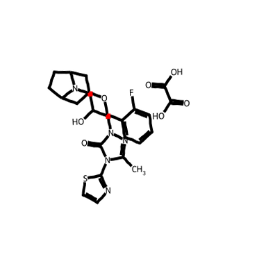 Cc1nn(CC(O)CN2C3CCC2CC(OCc2ccccc2F)C3)c(=O)n1-c1nccs1.O=C(O)C(=O)O